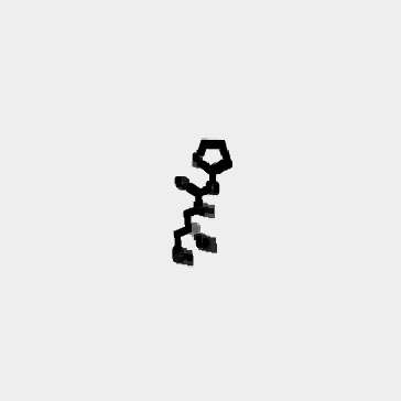 O=C(NC[C@H](O)CO)Oc1cccs1